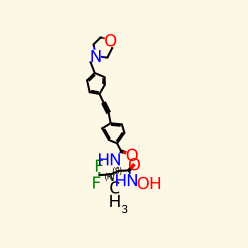 C[C@@H](C(F)F)[C@H](NC(=O)c1ccc(C#Cc2ccc(CN3CCOCC3)cc2)cc1)C(=O)NO